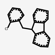 Clc1ccccc1CC1c2ccccc2-c2ccccc21